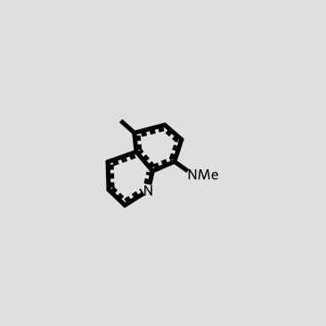 CNc1ccc(C)c2cccnc12